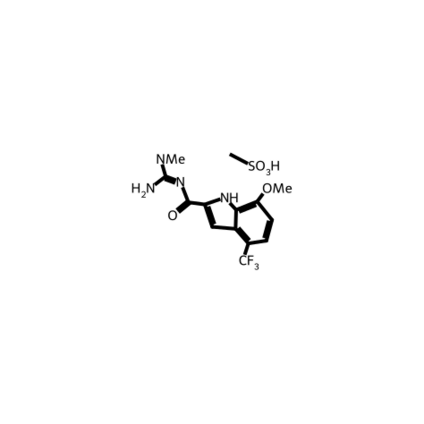 CNC(N)=NC(=O)c1cc2c(C(F)(F)F)ccc(OC)c2[nH]1.CS(=O)(=O)O